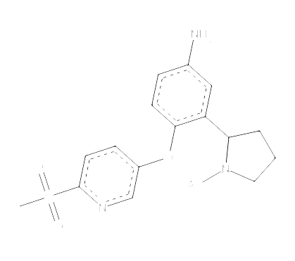 CC(=O)N1CCCC1c1cc(N)ccc1Oc1ccc(S(C)(=O)=O)nc1